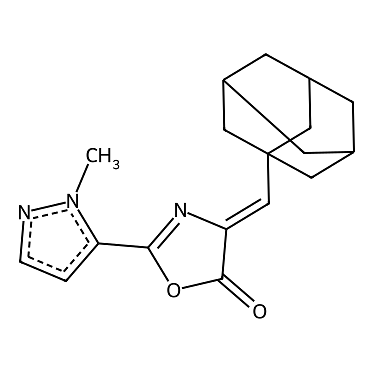 Cn1nccc1C1=NC(=CC23CC4CC(CC(C4)C2)C3)C(=O)O1